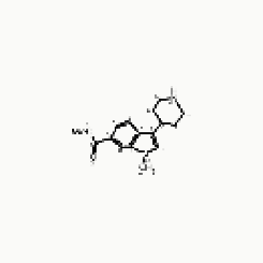 COC(=O)c1ccc2c(C3CCNCC3)cn(C)c2c1